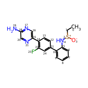 CC[S+]([O-])Nc1ccccc1-c1ccc(-c2cnc(N)cn2)c(F)c1